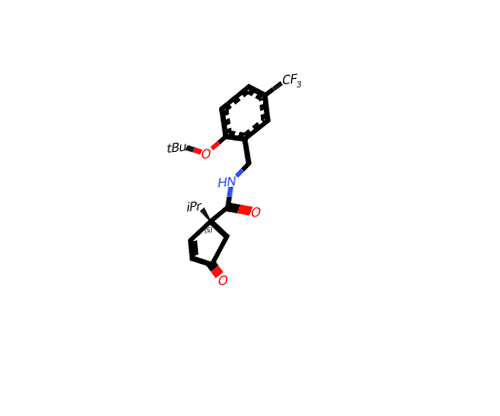 CC(C)[C@]1(C(=O)NCc2cc(C(F)(F)F)ccc2OC(C)(C)C)C=CC(=O)C1